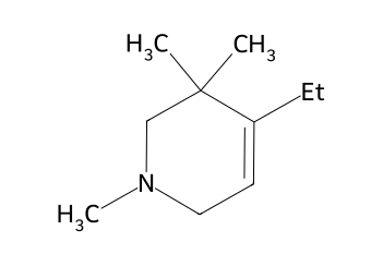 CCC1=CCN(C)CC1(C)C